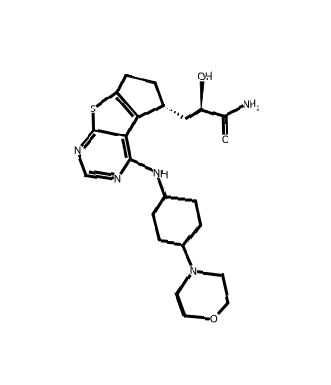 NC(=O)[C@H](O)C[C@H]1CCc2sc3ncnc(NC4CCC(N5CCOCC5)CC4)c3c21